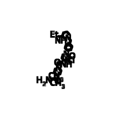 CCC(N)C1CCCN(Cc2ccc(-n3ccc(NC(=O)N4CCN(C(=O)C(C)(C)N)CC4)nc3=O)cc2)C1.Cl